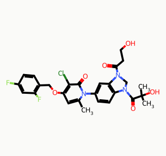 Cc1cc(OCc2ccc(F)cc2F)c(Cl)c(=O)n1-c1ccc2c(c1)N(C(=O)CCO)CN2C(=O)C(C)(C)O